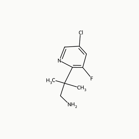 CC(C)(CN)c1ncc(Cl)cc1F